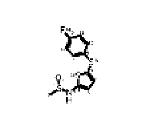 C[S+]([O-])Nc1ccc(Sc2ccc(F)cc2)s1